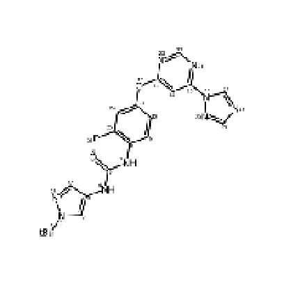 CC(C)(C)n1cc(NC(=O)Nc2ccc(Oc3cc(-n4cncn4)ncn3)cc2F)cn1